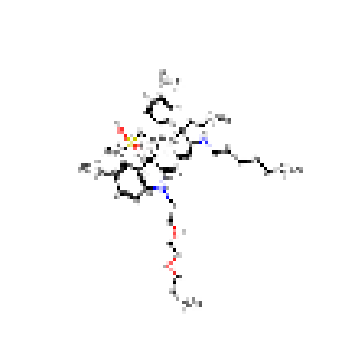 COCCOCCOCCN1/C(=C/C=C/C(=N\CCCCCC(=O)O)C(C)(CCOC)c2cccc(S(=O)(=O)O)c2)C(C)(CCCS(=O)(=O)OC)c2cc(S(=O)(=O)O)ccc21